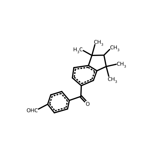 CC1C(C)(C)c2ccc(C(=O)c3ccc(C=O)cc3)cc2C1(C)C